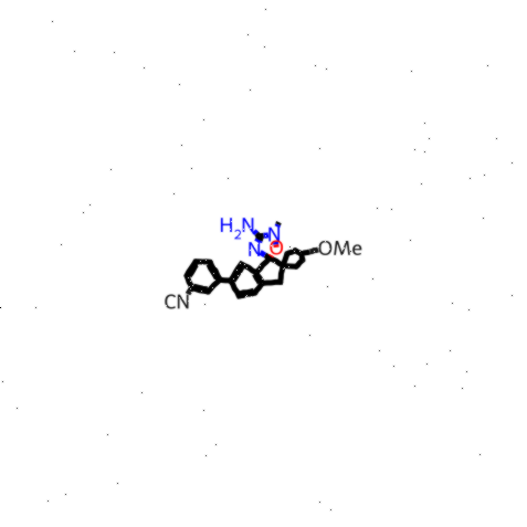 [C-]#[N+]c1cccc(-c2ccc3c(c2)C2(N=C(N)N(C)O2)C2(CCC(OC)CC2)C3)c1